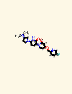 CN(C)C1CCN(c2ccc(-n3ccc(OCc4ccc(F)cn4)cc3=O)c(=O)[nH]2)C1